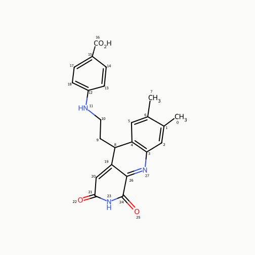 Cc1cc2c(cc1C)C(CCNc1ccc(C(=O)O)cc1)C1=CC(=O)NC(=O)C1=N2